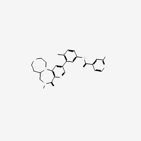 CCN1C[C@H]2CCOCCN2c2cc(-c3cc(NC(=O)c4ccnc(C(F)(F)F)c4)ccc3C)cnc2C1=O